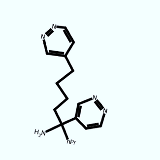 CCCC(N)(CC[CH]Cc1ccnnc1)c1ccnnc1